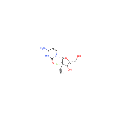 C#C[C@]1(F)C(O)[C@@H](CO)O[C@H]1N1C=CC(N)NC1=O